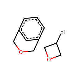 CCC1COC1.c1cc2cc(c1)COC2